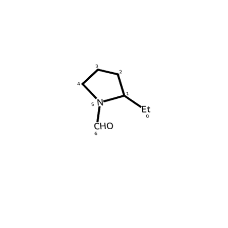 CCC1CCCN1C=O